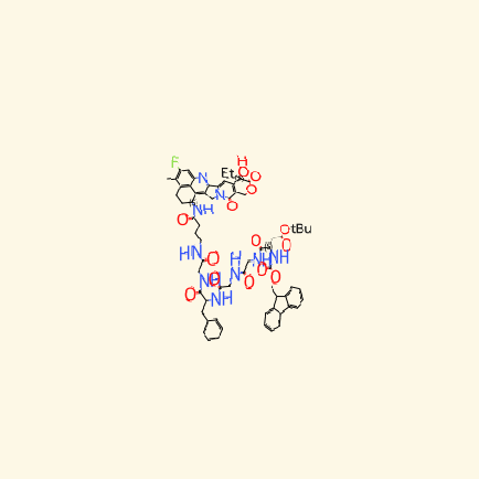 CC[C@@]1(O)C(=O)OCc2c1cc1n(c2=O)Cc2c-1nc1cc(F)c(C)c3c1c2[C@@H](NC(=O)CCCNC(=O)CNC(=O)C(Cc1ccccc1)NC(=O)CNC(=O)CNC(=O)[C@H](CC(=O)OC(C)(C)C)NC(=O)OCC1c2ccccc2-c2ccccc21)CC3